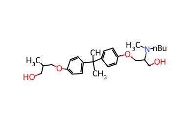 CCCCN(C)C(CO)COc1ccc(C(C)(C)c2ccc(OCC(C)CO)cc2)cc1